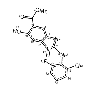 COC(=O)c1cc2nc(Nc3c(F)cccc3Cl)[nH]c2cc1O